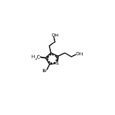 Cc1c(Br)sc(CCO)c1CCO